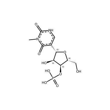 Cn1c(=O)[nH]cc([C@@H]2O[C@H](CO)[C@@H](OP(=O)(O)O)[C@H]2O)c1=O